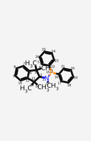 CN(C1C(C)(C)c2ccccc2C1(C)C)P(c1ccccc1)c1ccccc1